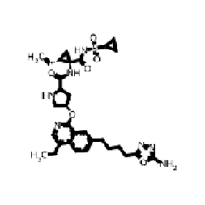 C=C[C@@H]1C[C@]1(NC(=O)C1C[C@@H](Oc2ncc(CC)c3ccc(CCCCc4nnc(N)o4)cc23)CN1)C(=O)NS(=O)(=O)C1CC1